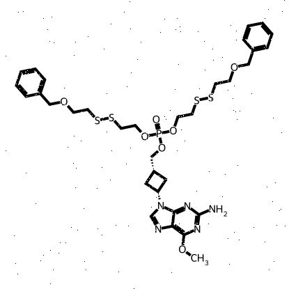 COc1nc(N)nc2c1ncn2[C@H]1C[C@@H](COP(=O)(OCCSSCCOCc2ccccc2)OCCSSCCOCc2ccccc2)C1